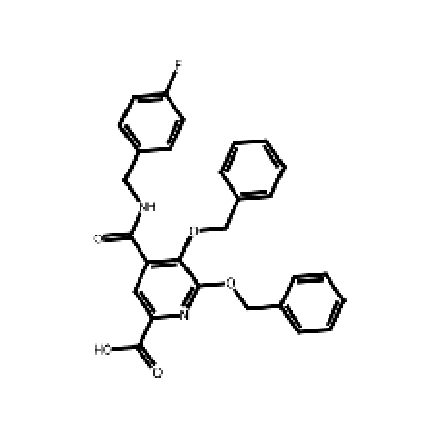 O=C(O)c1cc(C(=O)NCc2ccc(F)cc2)c(OCc2ccccc2)c(OCc2ccccc2)n1